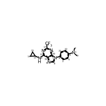 CN(C)c1ccc(-n2cnc3c(NC4CC4)nc(C(F)(F)F)nc32)cc1